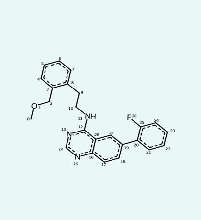 COCc1ccccc1CCNc1ncnc2ccc(-c3ccccc3F)cc12